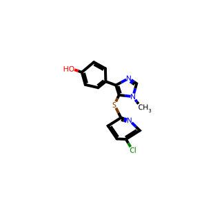 Cn1cnc(-c2ccc(O)cc2)c1Sc1ccc(Cl)cn1